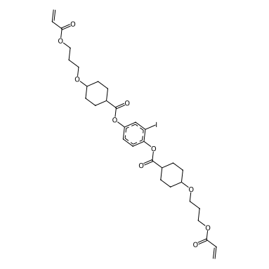 C=CC(=O)OCCCOC1CCC(C(=O)Oc2ccc(OC(=O)C3CCC(OCCCOC(=O)C=C)CC3)c(I)c2)CC1